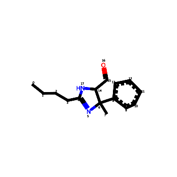 CCCCC1=NC(C)(c2ccccc2)C(C=O)N1